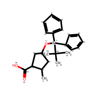 CC1CC(O[Si](c2ccccc2)(c2ccccc2)C(C)(C)C)CC1C(=O)O